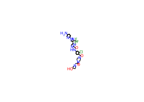 Cn1c(-c2cn(-c3ccc(N)cn3)nc2C(F)(F)F)cnc1C(=O)Nc1ccc(C(=O)N2CCN(C(=O)CN3CCC(O)C3)CC2)c(Cl)c1